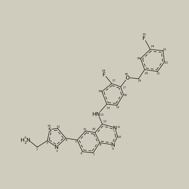 NCc1nc(-c2ccc3ncnc(Nc4ccc(OCc5cccc(F)c5)c(F)c4)c3c2)cs1